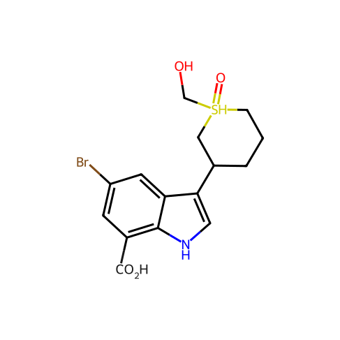 O=C(O)c1cc(Br)cc2c(C3CCC[SH](=O)(CO)C3)c[nH]c12